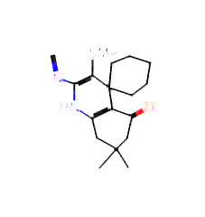 C=NC1=C(SC)C2(CCCCC2)C2=C(CC(C)(C)CC2=O)N1